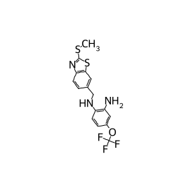 CSc1nc2ccc(CNc3ccc(OC(F)(F)F)cc3N)cc2s1